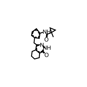 CC1(C(=O)Nc2cccc(Cc3n[nH]c(=O)c4c3CCCC4)c2)CC1